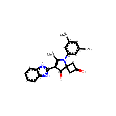 CNC1=C(c2nc3ccccc3[nH]2)C(=O)C2(CC(=O)C2)N1c1cc(OC)cc(OC)c1